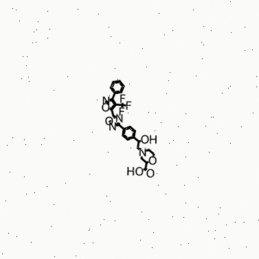 O=C(O)C1CN(CC(O)c2ccc(-c3noc(-c4onc(-c5ccccc5)c4C(F)(F)F)n3)cc2)CCO1